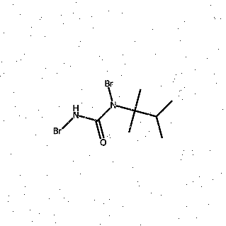 CC(C)C(C)(C)N(Br)C(=O)NBr